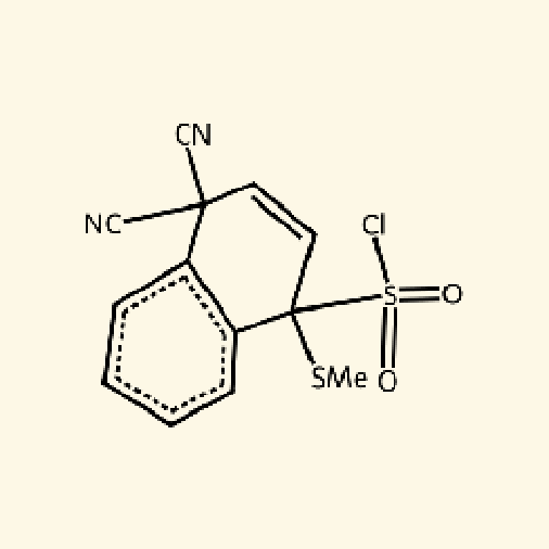 CSC1(S(=O)(=O)Cl)C=CC(C#N)(C#N)c2ccccc21